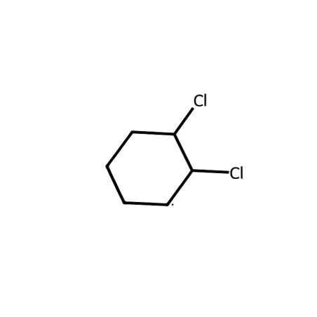 ClC1[CH]CCCC1Cl